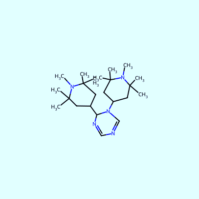 CN1C(C)(C)CC(C2N=CN=CN2C2CC(C)(C)N(C)C(C)(C)C2)CC1(C)C